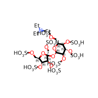 CCN(CC)CC.O=S(=O)(O)OC[C@H]1O[C@@](COS(=O)(=O)O)(O[C@H]2O[C@H](COS(=O)(=O)O)[C@@H](OS(=O)(=O)O)[C@H](OS(=O)(=O)O)[C@H]2OS(=O)(=O)O)[C@@H](OS(=O)(=O)O)[C@@H]1OS(=O)(=O)O